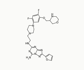 Nc1nc(NCCN2CCN(c3cc(OCC4COCCN4)c(F)cc3F)CC2)nc2nc(-c3ccco3)nn12